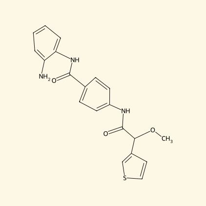 COC(C(=O)Nc1ccc(C(=O)Nc2ccccc2N)cc1)c1ccsc1